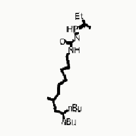 CCCCC(CCCC)CC(C)CCCCCCNC(=O)N=[PH]=C(C)CC